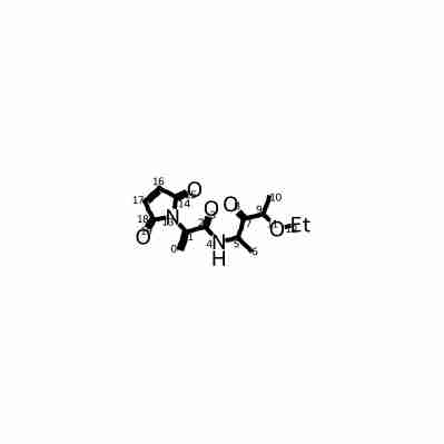 C=C(C(=O)NC(C)C(=O)C(C)OCC)N1C(=O)C=CC1=O